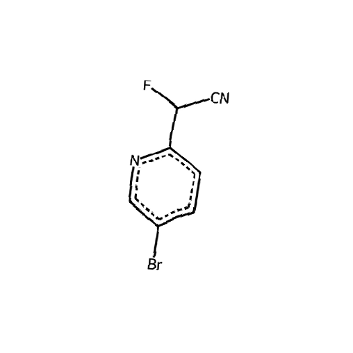 N#CC(F)c1ccc(Br)cn1